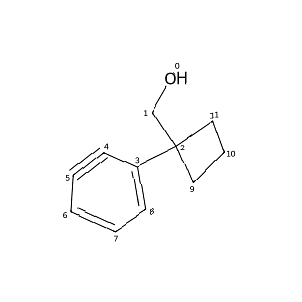 OCC1(c2c#cccc2)CCC1